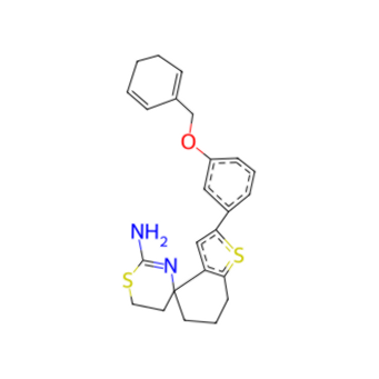 NC1=NC2(CCCc3sc(-c4cccc(OCC5=CCCC=C5)c4)cc32)CCS1